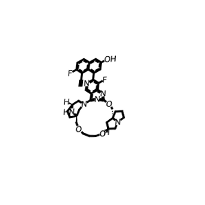 C#Cc1c(F)ccc2cc(O)cc(-c3ncc4c5nc(nc4c3F)OC[C@]34CCCN3C[C@@H](C4)OCCCOC[C@]34CC[C@H](CN5C3)N4)c12